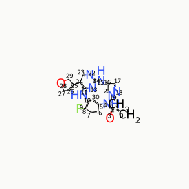 C=CC(=O)Nc1ccc(F)c(Nc2nc(Nc3cnn(C)c3)ncc2C2=CCOC2)c1